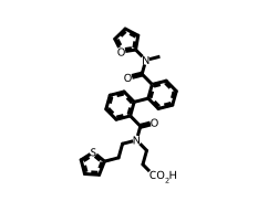 CN(C(=O)c1ccccc1-c1ccccc1C(=O)N(CCC(=O)O)CCc1cccs1)c1ccco1